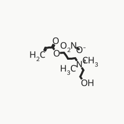 C=CC(=O)OCCC[N+](C)(C)CCO.O=[N+]([O-])[O-]